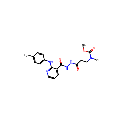 CCN(CCC(=O)NNC(=O)c1cccnc1Nc1ccc(C(F)(F)F)cc1)C(=O)OC(C)(C)C